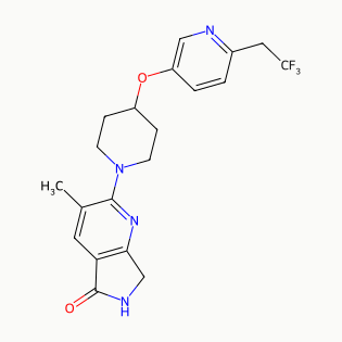 Cc1cc2c(nc1N1CCC(Oc3ccc(CC(F)(F)F)nc3)CC1)CNC2=O